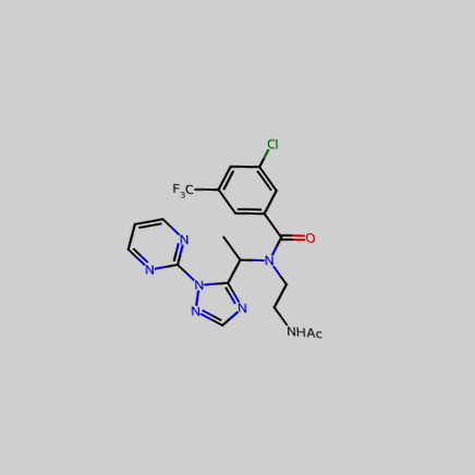 CC(=O)NCCN(C(=O)c1cc(Cl)cc(C(F)(F)F)c1)C(C)c1ncnn1-c1ncccn1